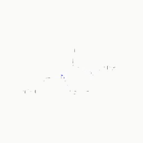 CCCCCCCCC[n+]1ccn(CCCCC)c1CC